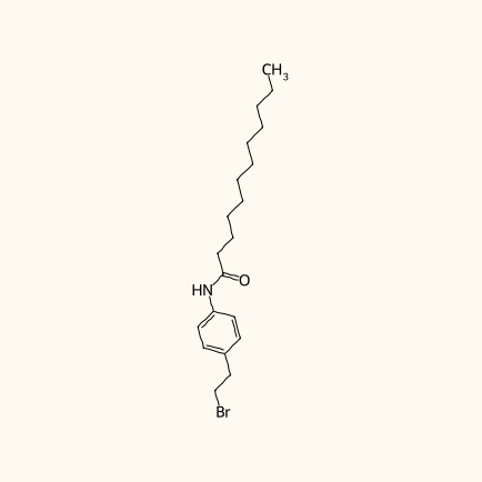 CCCCCCCCCCCC(=O)Nc1ccc(CCBr)cc1